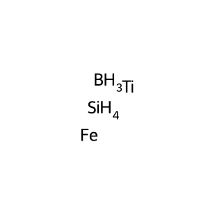 B.[Fe].[SiH4].[Ti]